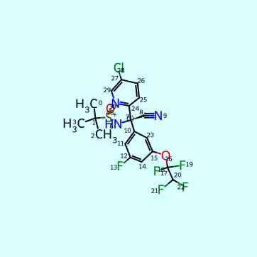 CC(C)(C)[S+]([O-])N[C@@](C#N)(c1cc(F)cc(OC(F)(F)C(F)F)c1)c1ccc(Cl)cn1